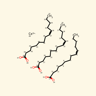 CCCC/C=C\CCCCCCCC(=O)[O-].CCCC/C=C\CCCCCCCC(=O)[O-].CCCC/C=C\CCCCCCCC(=O)[O-].[Ce+3]